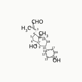 CC(C=O)=C[C@H]1CC[C@]2(O)C[C@@H](c3ccc(O)cc3)CC[C@]12C